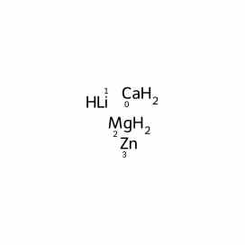 [CaH2].[LiH].[MgH2].[Zn]